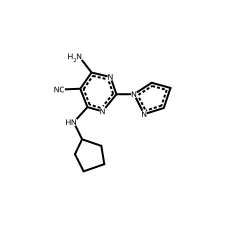 N#Cc1c(N)nc(-n2cccn2)nc1NC1CCCC1